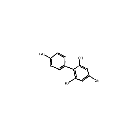 Oc1[c]c(O)c(-c2ccc(O)cc2)c(O)c1